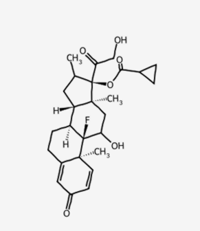 CC1C[C@H]2[C@@H]3CCC4=CC(=O)C=C[C@]4(C)[C@@]3(F)C(O)C[C@]2(C)[C@@]1(OC(=O)C1CC1)C(=O)CO